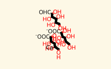 O=C([O-])[C@H](O)[C@@H](O)[C@H](O)[C@H](O)CO.O=C([O-])[C@H](O)[C@@H](O)[C@H](O)[C@H](O)CO.O=C[C@H](O)[C@@H](O)[C@H](O)[C@H](O)CO.[Ca+2]